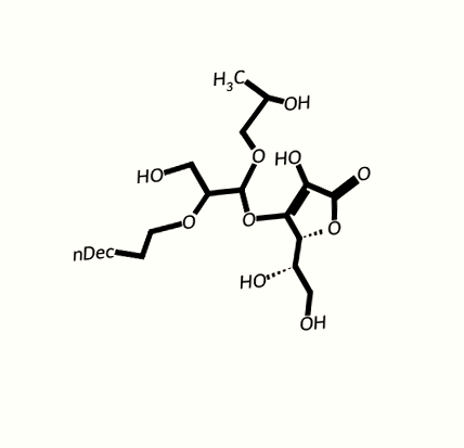 CCCCCCCCCCCCOC(CO)C(OCC(C)O)OC1=C(O)C(=O)O[C@@H]1[C@@H](O)CO